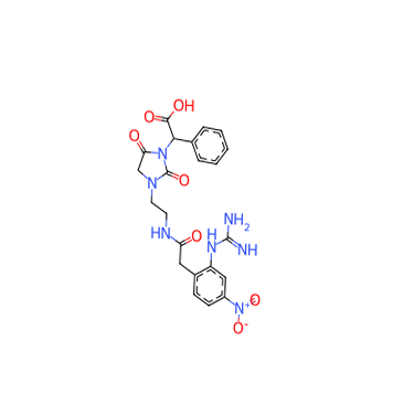 N=C(N)Nc1cc([N+](=O)[O-])ccc1CC(=O)NCCN1CC(=O)N(C(C(=O)O)c2ccccc2)C1=O